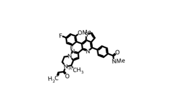 C=CC(=O)N1CCn2nc(-c3nc(-c4ccc(C(=O)NC)cc4)c4ccsc4c3-c3c(F)cc(F)cc3OC)cc2[C@H]1C